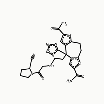 N#CC1CCCN1C(=O)CNCCC1(c2nn[nH]n2)c2cc(C(N)=O)sc2CCc2sc(C(N)=O)cc21